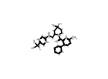 Cc1ccc(-c2ccccc2)c(C(=O)N2CCC(F)(F)CC2CNc2cnc(C(F)(F)F)cn2)n1